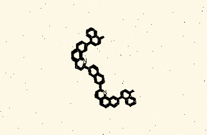 Cc1ccc(-c2ccc3ccc4ccc(-c5ccc6ccc(-c7ccc8ccc9ccc(-c%10ccc(C)c%11ccccc%10%11)cc9c8n7)cc6c5)nc4c3c2)c2ccccc12